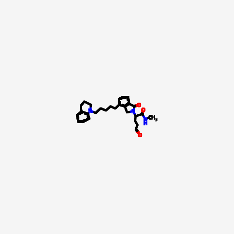 CNC(=O)C(CCC=O)N1Cc2c(CCCCCN3CCCc4ccccc43)cccc2C1=O